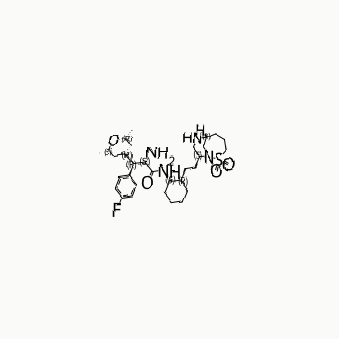 C[C@@H]1C[C@H]([C@H](c2ccc(F)cc2)[C@H](N)C(=O)N[C@H]2CCCC[C@@H]2CC[C@H]2CN[C@@H]3CCCS(=O)(=O)N2C3)C[C@H](C)O1